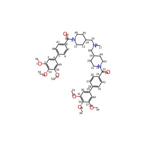 COc1cc(-c2ccc(C(=O)N3CCC(CN(C)CC4CCN(C(=O)c5ccc(-c6cc(OC)c(OC)c(OC)c6)cc5)CC4)CC3)cc2)cc(OC)c1OC